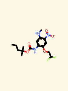 CCCC(C)(C)OC(=O)Nc1cc(NC)c([N+](=O)[O-])cc1OCC(F)F